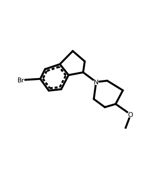 COC1CCN(C2CCc3cc(Br)ccc32)CC1